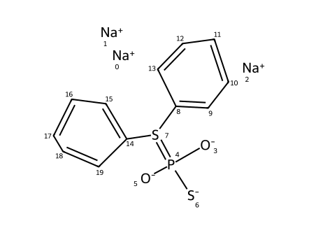 [Na+].[Na+].[Na+].[O-]P([O-])([S-])=S(c1ccccc1)c1ccccc1